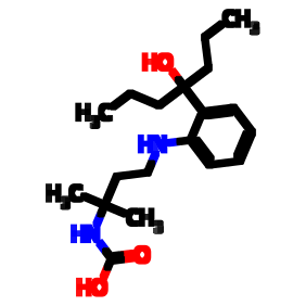 CCCC(O)(CCC)c1ccccc1NCCC(C)(C)NC(=O)O